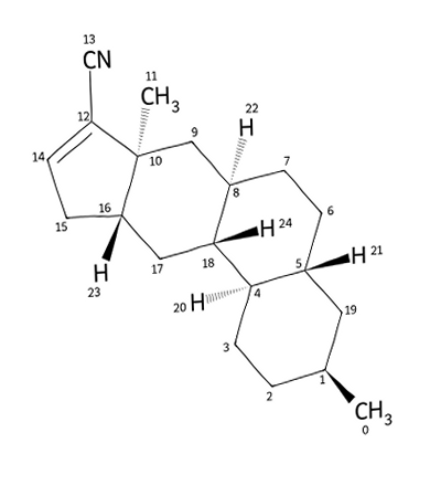 C[C@H]1CC[C@@H]2[C@H](CC[C@@H]3C[C@]4(C)C(C#N)=CC[C@H]4C[C@H]32)C1